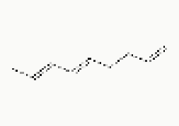 C=CCCC=CC=CC